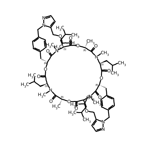 CC(C)CC1C(=O)O[C@H](C)C(=O)N(C)[C@@H](CC(C)C)C(=O)O[C@H](Cc2ccc(Cn3nccc3COC(C)C)cc2)C(=O)N(C)[C@@H](CC(C)C)C(=O)O[C@H](C)C(=O)N(C)[C@@H](CC(C)C)C(=O)O[C@H](Cc2ccc(Cn3nccc3COC(C)C)cc2)C(=O)N1C